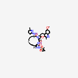 COc1ccc2nc(C)c3c(c2c1)CC[C@]1(C[C@H]2C(=O)N[C@]4(C(=O)NS(=O)(=O)C5(C)CC5)C[C@H]4C=CCCCCC[C@H](Nc4cccc(C)n4)C(=O)N2C1)O3